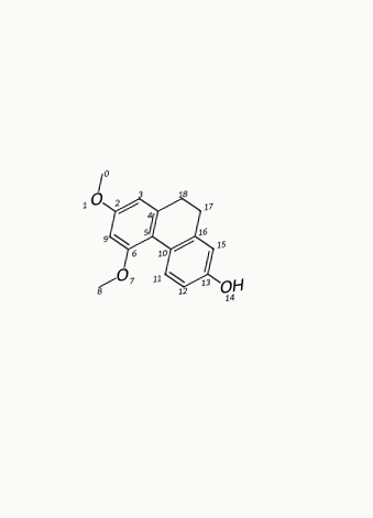 COc1cc2c(c(OC)c1)-c1ccc(O)cc1CC2